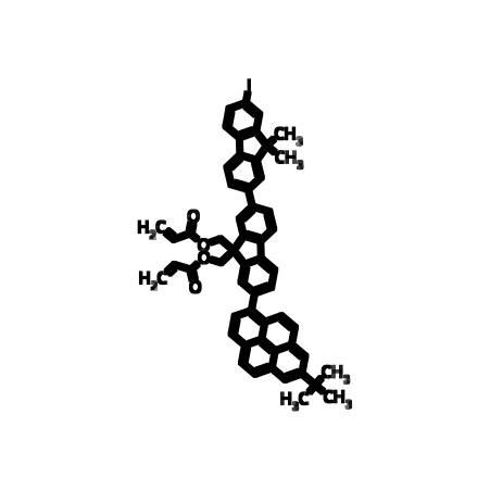 C=CC(=O)OCC1(COC(=O)C=C)c2cc(-c3ccc4c(c3)C(C)(C)c3cc(I)ccc3-4)ccc2-c2ccc(-c3ccc4ccc5cc(C(C)(C)C)cc6ccc3c4c56)cc21